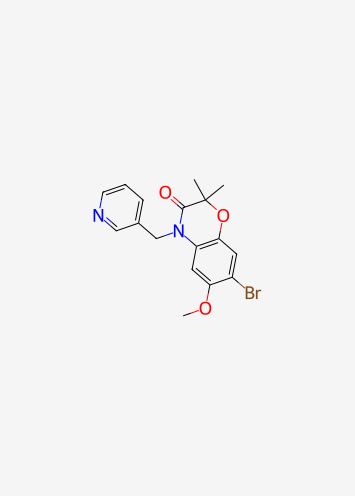 COc1cc2c(cc1Br)OC(C)(C)C(=O)N2Cc1cccnc1